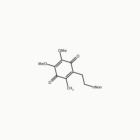 C[CH]CCCCCCCCCC1=C(C)C(=O)C(OC)=C(OC)C1=O